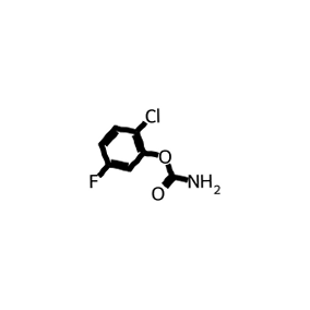 NC(=O)Oc1cc(F)ccc1Cl